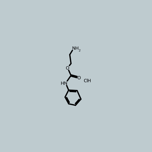 Cl.NCCOC(=O)Nc1ccccc1